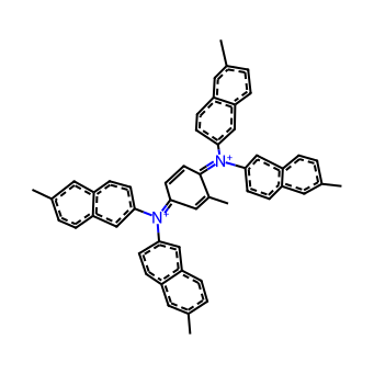 CC1=CC(=[N+](c2ccc3cc(C)ccc3c2)c2ccc3cc(C)ccc3c2)C=CC1=[N+](c1ccc2cc(C)ccc2c1)c1ccc2cc(C)ccc2c1